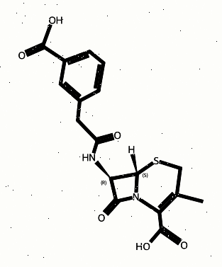 CC1=C(C(=O)O)N2C(=O)[C@@H](NC(=O)Cc3cccc(C(=O)O)c3)[C@@H]2SC1